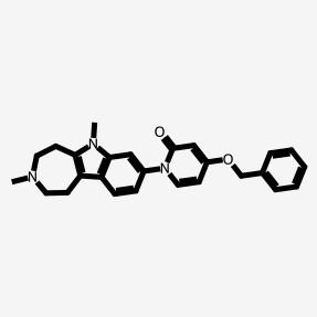 CN1CCc2c(n(C)c3cc(-n4ccc(OCc5ccccc5)cc4=O)ccc23)CC1